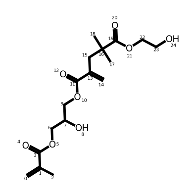 C=C(C)C(=O)OCC(O)COC(=O)C(=C)CC(C)(C)C(=O)OCCO